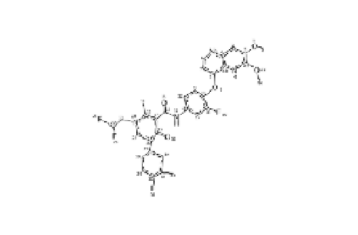 COc1cc2nccc(Oc3ccc(NC(=O)c4c(C)n(CC(F)F)cc(-c5ccc(F)c(C)c5)c4=O)cc3F)c2nc1OC